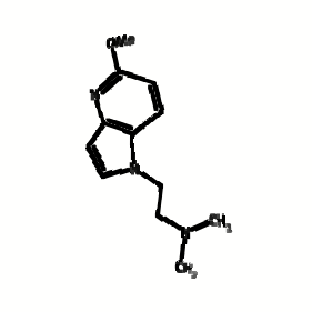 COc1ccc2c(ccn2CCN(C)C)n1